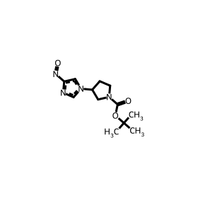 CC(C)(C)OC(=O)N1CCC(n2cnc(N=O)c2)C1